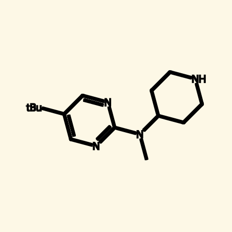 CN(c1ncc(C(C)(C)C)cn1)C1CCNCC1